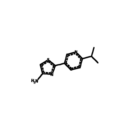 CC(C)c1ccc(-c2nc(N)cs2)cn1